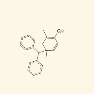 CC1=C(O)C=CC(C)(C(c2ccccc2)c2ccccc2)C1